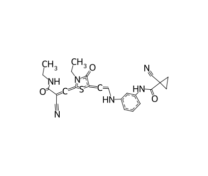 CCNC(=O)C(=C=c1sc(=C=CNc2cccc(NC(=O)C3(C#N)CC3)c2)c(=O)n1CC)C#N